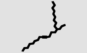 [CH2]CCCCCCCC#CCCCC(CCC)CCCCCCCC[CH2]